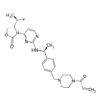 C=CC(=O)N1CCN(Cc2ccc([C@H](C)Nc3nccc(N4C(=O)OC[C@@H]4[C@@H](C)F)n3)cc2)CC1